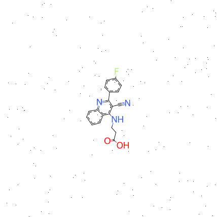 N#Cc1c(-c2ccc(F)cc2)nc2ccccc2c1NCCC(=O)O